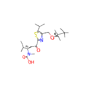 CC(C)c1sc(C(=O)C[C@H](C(C)C)N(C)C(=O)O)nc1CO[Si](C)(C)C(C)(C)C